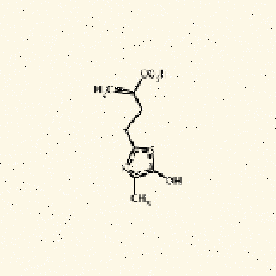 C=C(CCc1nc(C)c(O)s1)C(=O)O